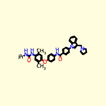 Cc1cc(Oc2ccc(NC(=O)c3ccc(-n4cc(CN5CCCC5)c5ccccc54)cc3)cc2)c(C)cc1NC(=O)NC(C)C